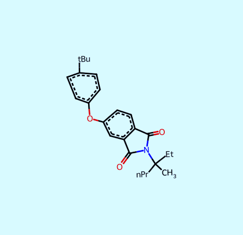 CCCC(C)(CC)N1C(=O)c2ccc(Oc3ccc(C(C)(C)C)cc3)cc2C1=O